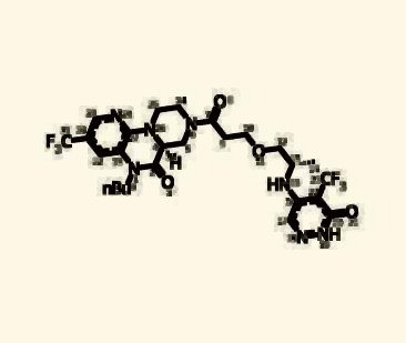 CCCCN1C(=O)[C@@H]2CN(C(=O)CCOC[C@H](C)Nc3cn[nH]c(=O)c3C(F)(F)F)CCN2c2ncc(C(F)(F)F)cc21